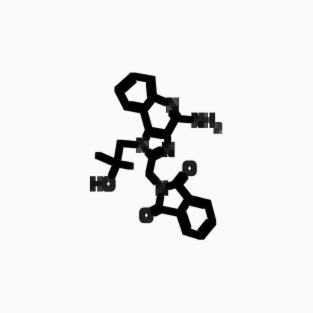 CC(C)(O)Cn1c(CN2C(=O)c3ccccc3C2=O)nc2c(N)nc3ccccc3c21